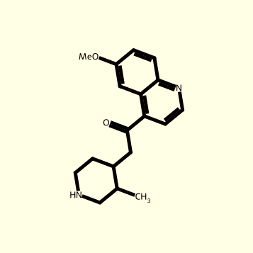 COc1ccc2nccc(C(=O)CC3CCNCC3C)c2c1